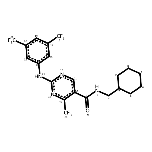 O=C(NCC1CCCCC1)c1cnc(Nc2cc(C(F)(F)F)cc(C(F)(F)F)c2)nc1C(F)(F)F